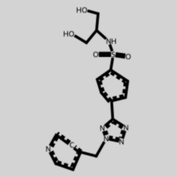 O=S(=O)(NC(CO)CO)c1ccc(-c2nnn(Cc3ccncc3)n2)cc1